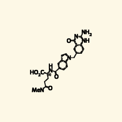 CNC(=O)CC[C@H](NC(=O)c1ccc2c(ccn2Cc2ccc3[nH]c(N)nc(=O)c3c2)c1)C(=O)O